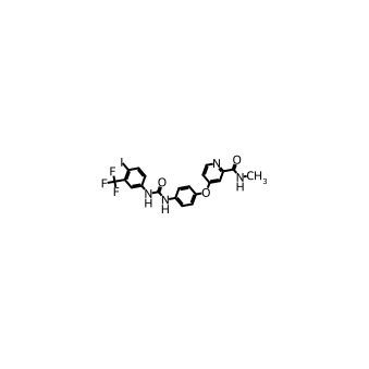 CNC(=O)c1cc(Oc2ccc(NC(=O)Nc3ccc(I)c(C(F)(F)F)c3)cc2)ccn1